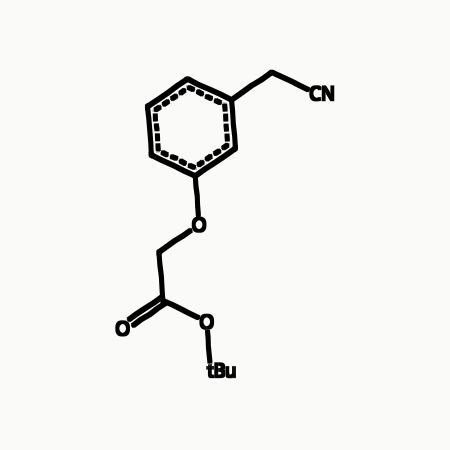 CC(C)(C)OC(=O)COc1cccc(CC#N)c1